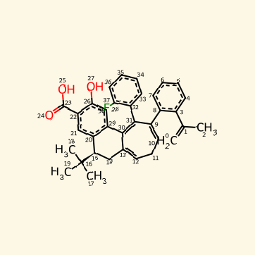 C=C(C)c1ccccc1C1=CCC=C2C[C@@H](C(C)(C)C)c3cc(C(=O)O)c(O)cc3C2=C1c1ccccc1F